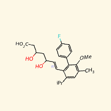 COc1c(C)cc(C(C)C)c(/C=C/C(O)CC(O)CC(=O)O)c1-c1ccc(F)cc1